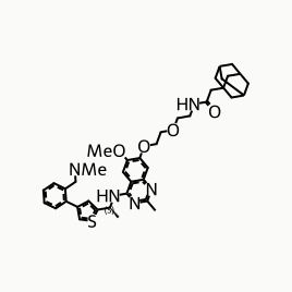 CNCc1ccccc1-c1csc([C@H](C)Nc2nc(C)nc3cc(OCCOCCNC(=O)CC45CC6CC(CC(C6)C4)C5)c(OC)cc23)c1